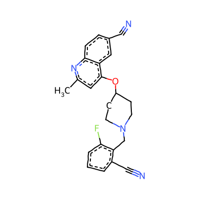 Cc1cc(OC2CCN(Cc3c(F)cccc3C#N)CC2)c2cc(C#N)ccc2n1